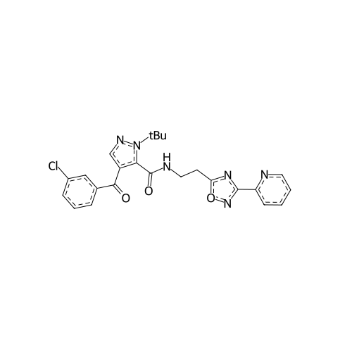 CC(C)(C)n1ncc(C(=O)c2cccc(Cl)c2)c1C(=O)NCCc1nc(-c2ccccn2)no1